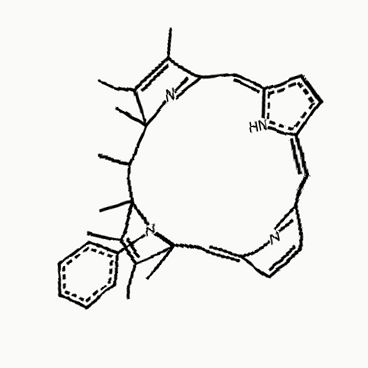 CC1=C(C)C2(C)N=C1C=c1ccc([nH]1)=CC1=NC(=CC3(C)C(C)=C(C)C(C)(C2C)N3c2ccccc2)C=C1